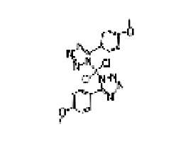 COc1ccc(-c2nnnn2C(Cl)(Cl)n2nnnc2-c2ccc(OC)cc2)cc1